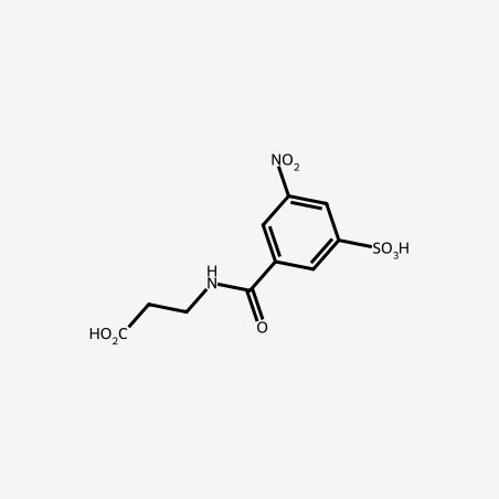 O=C(O)CCNC(=O)c1cc([N+](=O)[O-])cc(S(=O)(=O)O)c1